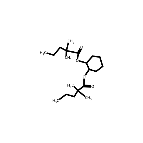 CCCC(C)(C)C(=O)OC1CCCCC1OC(=O)C(C)(C)CCC